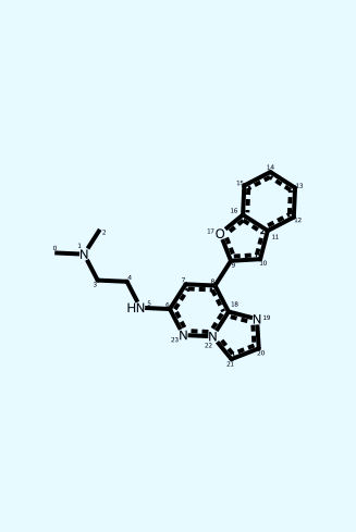 CN(C)CCNc1cc(-c2cc3ccccc3o2)c2nccn2n1